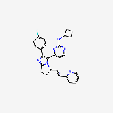 Fc1ccc(-c2nc3n(c2-c2ccnc(NC4CCC4)n2)C(/C=C/c2ccccn2)CC3)cc1